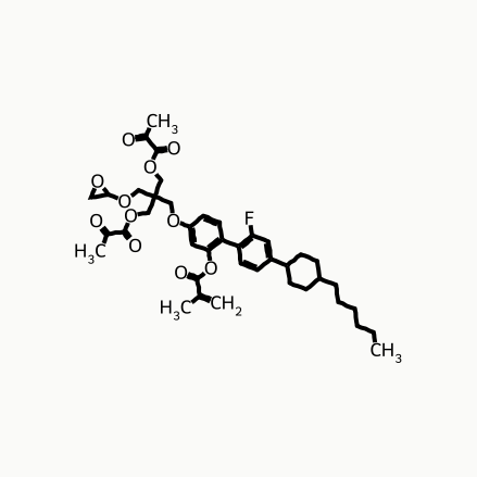 C=C(C)C(=O)Oc1cc(OCC(COC(=O)C(C)=O)(COC(=O)C(C)=O)COC2CO2)ccc1-c1ccc(C2CCC(CCCCCC)CC2)cc1F